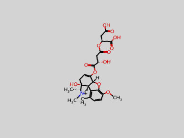 COc1ccc(C)c2c1O[C@H]1C(OC(=O)[C@@H](O)CC(=O)O[C@@H](CC(=O)O)C(=O)O)=CC[C@@]3(O)[C@@H](C)N(C)CC[C@]213